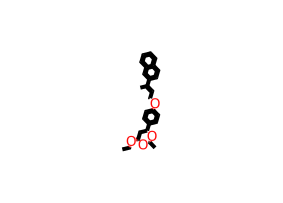 CCOC(=O)CC(OCC)c1ccc(OCC=C(C)c2ccc3ccccc3c2)cc1